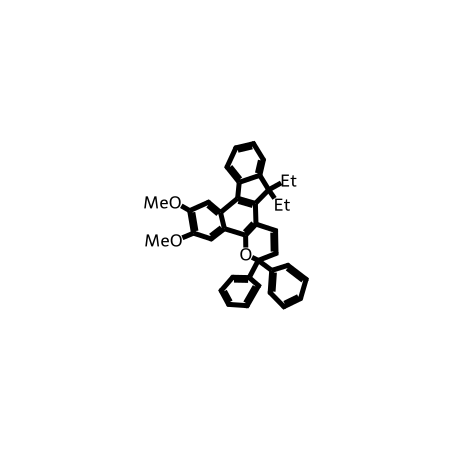 CCC1(CC)c2ccccc2-c2c1c1c(c3cc(OC)c(OC)cc23)OC(c2ccccc2)(c2ccccc2)C=C1